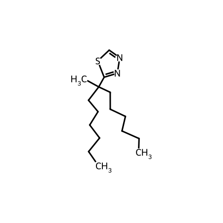 CCCCCCC(C)(CCCCCC)c1nncs1